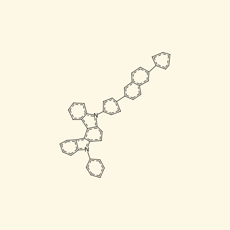 c1ccc(-c2ccc3cc(-c4ccc(-n5c6ccccc6c6c7c8ccccc8n(-c8ccccc8)c7ccc65)cc4)ccc3c2)cc1